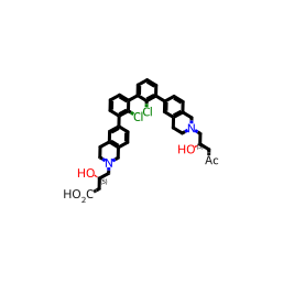 CC(=O)C[C@H](O)CN1CCc2cc(-c3cccc(-c4cccc(-c5ccc6c(c5)CCN(C[C@@H](O)CC(=O)O)C6)c4Cl)c3Cl)ccc2C1